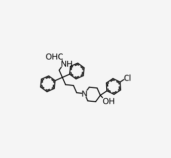 O=CNCC(CCCN1CCC(O)(c2ccc(Cl)cc2)CC1)(c1ccccc1)c1ccccc1